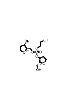 O=[P@](OCCS)(OC[C@H]1OCCC1O)OC1CCO[C@@H]1CO